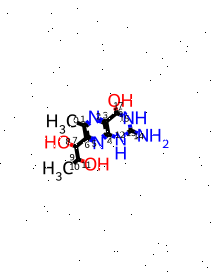 Cc1nc2c(nc1C(O)C(C)O)NC(N)NC2O